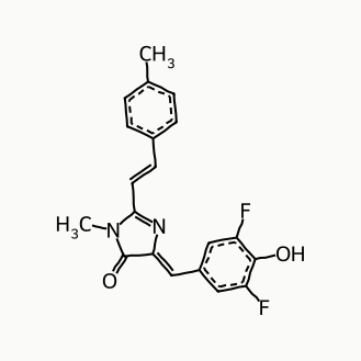 Cc1ccc(/C=C/C2=NC(=C\c3cc(F)c(O)c(F)c3)/C(=O)N2C)cc1